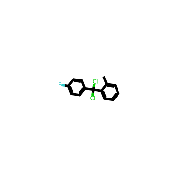 Cc1ccccc1C(Cl)(Cl)c1ccc(F)cc1